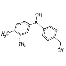 Cc1ccc(B(O)c2ccc(CO)cc2)cc1C